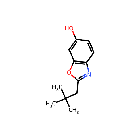 CC(C)(C)Cc1nc2ccc(O)cc2o1